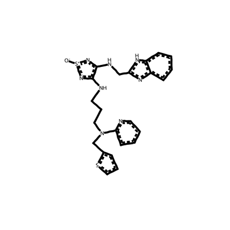 [O-][s+]1nc(NCCCN(Cc2cccs2)c2ccccn2)c(NCc2nc3ccccc3[nH]2)n1